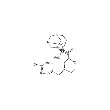 COC(=O)C12CC3CC(C1)C(NC(=O)C1CN(Cc4ccc(Cl)nc4)CCO1)C(C3)C2